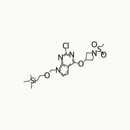 C[Si](C)(C)CCOCn1ccc2c(OC3CN(S(C)(=O)=O)C3)nc(Cl)nc21